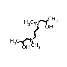 CC(O)CN(C)CCCN(C)CC(C)O